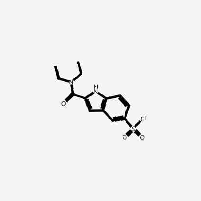 CCN(CC)C(=O)c1cc2cc(S(=O)(=O)Cl)ccc2[nH]1